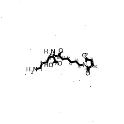 NCCCCC(N)(C(=O)O)C(=O)CCCCCN1C(=O)C=CC1=O